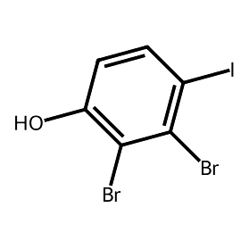 Oc1ccc(I)c(Br)c1Br